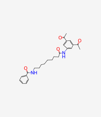 CC(=O)c1cc(NC(=O)CCCCCCCCNC(=O)c2ccccc2)cc(C(C)=O)c1